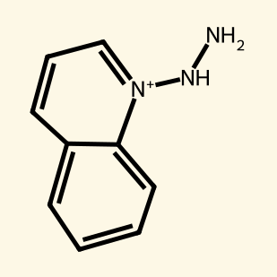 NN[n+]1cccc2ccccc21